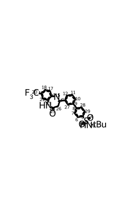 CC(C)(C)NS(=O)(=O)c1ccc(-c2cccc(C3=Nc4ccc(C(F)(F)F)cc4NC(=O)C3)c2)cc1